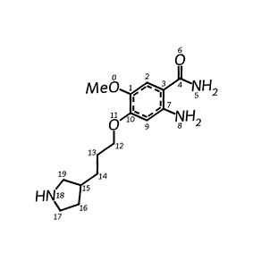 COc1cc(C(N)=O)c(N)cc1OCCCC1CCNC1